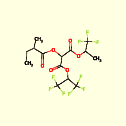 CCC(C)C(=O)OC(C(=O)OC(C)C(F)(F)F)C(=O)OC(C(F)(F)F)C(F)(F)F